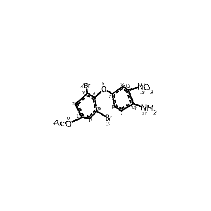 CC(=O)Oc1cc(Br)c(Oc2ccc(N)c([N+](=O)[O-])c2)c(Br)c1